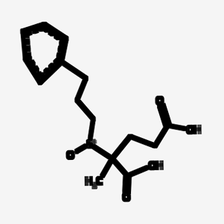 CC(CCC(=O)O)(C(=O)O)[S+]([O-])CCCc1ccccc1